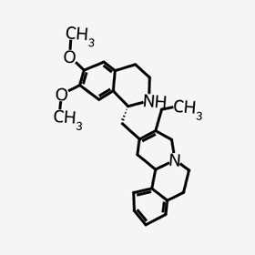 CCC1=C(C[C@H]2NCCc3cc(OC)c(OC)cc32)CC2c3ccccc3CCN2C1